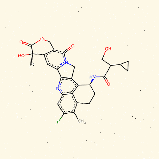 CC[C@@]1(O)C(=O)OCc2c1cc1n(c2=O)Cc2c-1nc1cc(F)c(C)c3c1c2[C@@H](NC(=O)C(CO)C1CC1)CC3